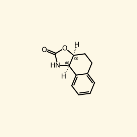 O=C1N[C@@H]2c3ccccc3CC[C@@H]2O1